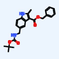 Cc1[nH]c2ccc(CNC(=O)OC(C)(C)C)cc2c1C(=O)OCc1ccccc1